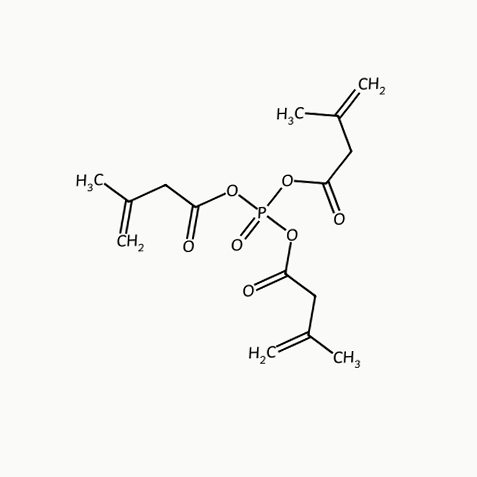 C=C(C)CC(=O)OP(=O)(OC(=O)CC(=C)C)OC(=O)CC(=C)C